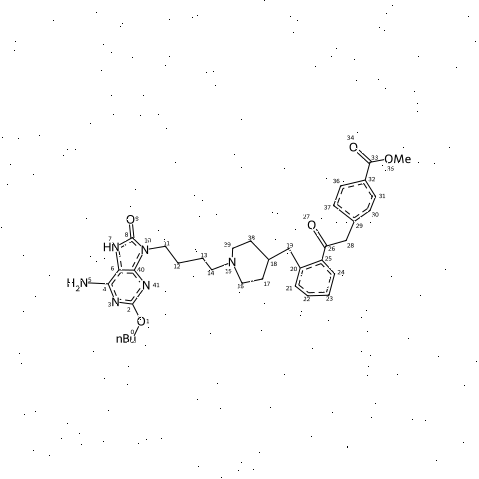 CCCCOc1nc(N)c2[nH]c(=O)n(CCCCN3CCC(Cc4ccccc4C(=O)Cc4ccc(C(=O)OC)cc4)CC3)c2n1